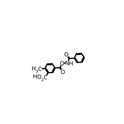 Cc1ccc(C(=O)ONC(=O)c2ccccc2)cc1C(=O)O